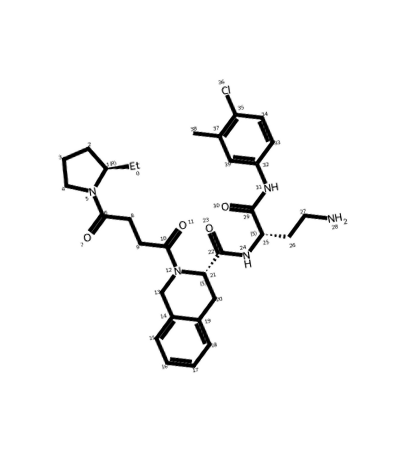 CC[C@@H]1CCCN1C(=O)CCC(=O)N1Cc2ccccc2C[C@H]1C(=O)N[C@@H](CCN)C(=O)Nc1ccc(Cl)c(C)c1